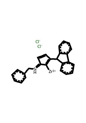 [Cl-].[Cl-].[Zr+2][C]1=C(C2c3ccccc3-c3ccccc32)C=CC1=[SiH]Cc1ccccc1